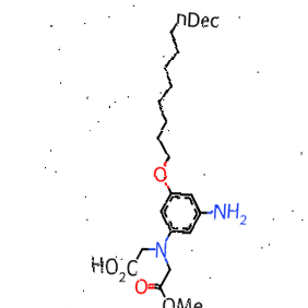 CCCCCCCCCCCCCCCCCCOc1cc(N)cc(N(CC(=O)O)CC(=O)OC)c1